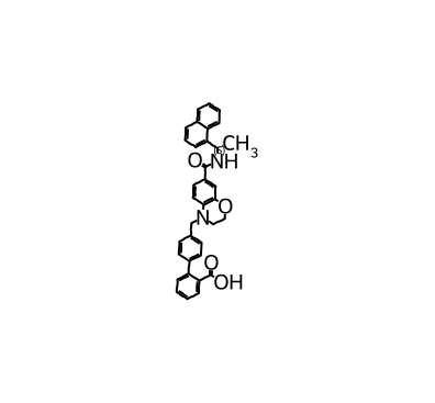 C[C@H](NC(=O)c1ccc2c(c1)OCCN2Cc1ccc(-c2ccccc2C(=O)O)cc1)c1cccc2ccccc12